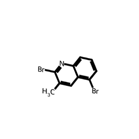 Cc1cc2c(Br)cccc2nc1Br